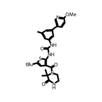 COc1ccc(-c2cc(C)cc(NC(=O)Nc3sc(C(C)(C)C)cc3C(=O)N3CCNC(=O)C3(C)C)c2)cn1